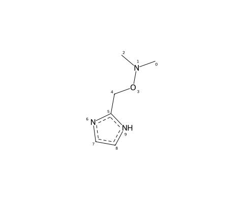 CN(C)OCc1ncc[nH]1